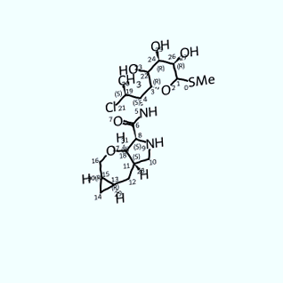 CSC1O[C@H]([C@H](NC(=O)[C@H]2NC[C@@H]3C[C@H]4C[C@H]4CO[C@H]32)[C@H](C)Cl)C(O)[C@@H](O)[C@H]1O